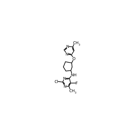 Cc1cc(OC2CCCC(Nc3nc(Cl)nc(C)c3F)C2)ncn1